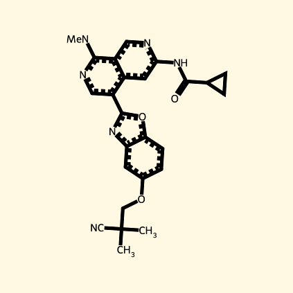 CNc1ncc(-c2nc3cc(OCC(C)(C)C#N)ccc3o2)c2cc(NC(=O)C3CC3)ncc12